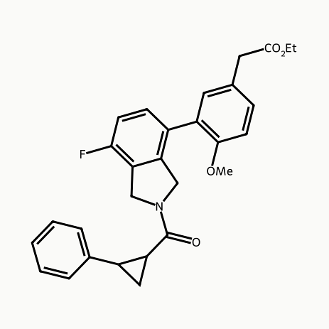 CCOC(=O)Cc1ccc(OC)c(-c2ccc(F)c3c2CN(C(=O)C2CC2c2ccccc2)C3)c1